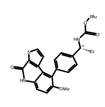 CC[C@@H](NC(=O)OC(C)(C)C)c1ccc(-c2c(OC)ccc3[nH]c(=O)c4sccc4c23)cc1